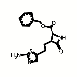 Nc1ncc(CCC2C(=O)N[C@@H]2C(=O)OCc2ccccc2)s1